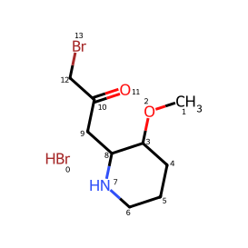 Br.COC1CCCNC1CC(=O)CBr